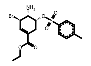 CCOC(=O)C1=C[C@@H](Br)[C@H](N)[C@H](OS(=O)(=O)c2ccc(C)cc2)C1